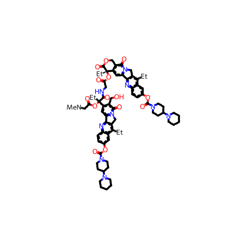 CCc1c2c(nc3ccc(OC(=O)N4CCC(N5CCCCC5)CC4)cc13)-c1cc(C(CC)(OC(=O)CNC)C(=O)NCC(=O)O[C@]3(CC)C(=O)OCc4c3cc3n(c4=O)Cc4c-3nc3ccc(OC(=O)N5CCC(N6CCCCC6)CC5)cc3c4CC)c(CO)c(=O)n1C2